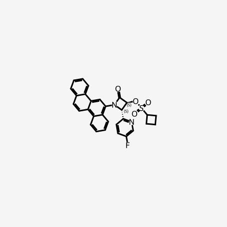 O=C1[C@@H](OS(=O)(=O)C2CCC2)[C@H](c2ccc(F)cn2)N1c1cc2c3ccccc3ccc2c2ccccc12